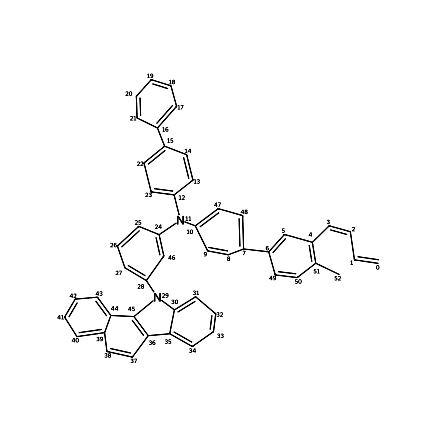 C=C/C=C\c1cc(-c2ccc(N(c3ccc(-c4ccccc4)cc3)c3cccc(-n4c5ccccc5c5ccc6ccccc6c54)c3)cc2)ccc1C